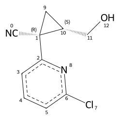 N#C[C@]1(c2cccc(Cl)n2)C[C@@H]1CO